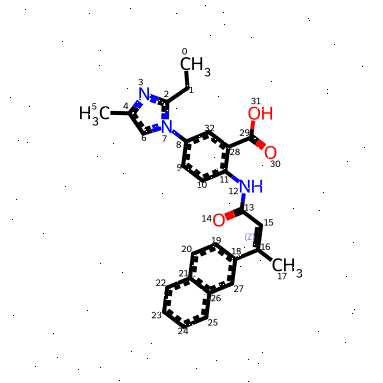 CCc1nc(C)cn1-c1ccc(NC(=O)/C=C(/C)c2ccc3ccccc3c2)c(C(=O)O)c1